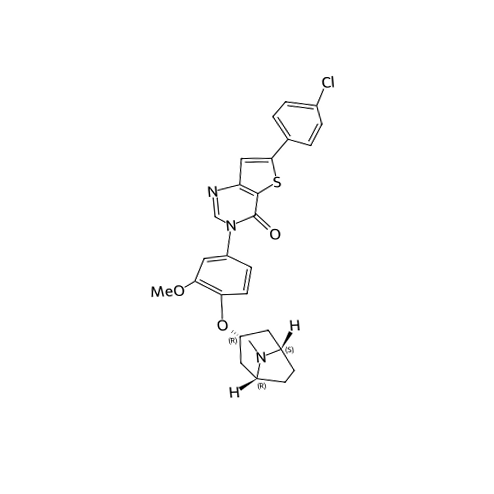 COc1cc(-n2cnc3cc(-c4ccc(Cl)cc4)sc3c2=O)ccc1O[C@H]1C[C@H]2CC[C@@H](C1)N2C